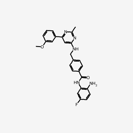 COc1cccc(-c2cc(NCc3ccc(C(=O)Nc4cc(F)ccc4N)cc3)nc(C)n2)c1